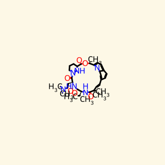 CC(C)[C@@H]1NC(=O)C(C)(C)/C=C/c2ccc3ccc(nc3c2)[C@@H](C)OC(=O)C2CCCN(N2)C(=O)[C@H](CC(=O)N(C)C)NC1=O